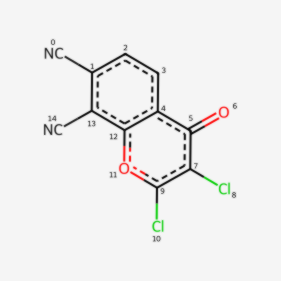 N#Cc1ccc2c(=O)c(Cl)c(Cl)oc2c1C#N